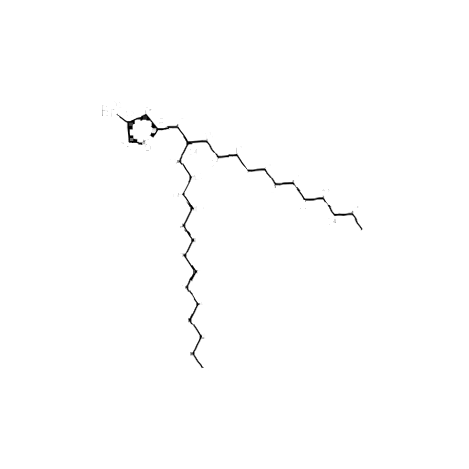 CCCCCCCCCCCCCCC(CCCCCCCCCCCC)Cc1cc(Br)cs1